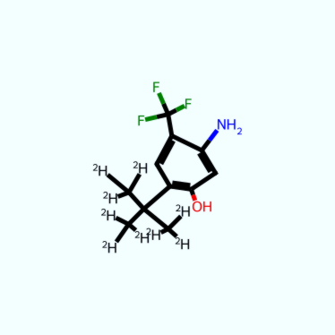 [2H]C([2H])([2H])C(c1cc(C(F)(F)F)c(N)cc1O)(C([2H])([2H])[2H])C([2H])([2H])[2H]